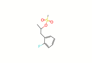 CC(Cc1ccccc1F)OS(C)(=O)=O